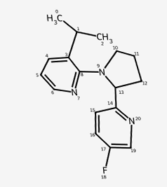 CC(C)c1cccnc1N1CCCC1c1ccc(F)cn1